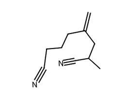 C=C(CCCC#N)CC(C)C#N